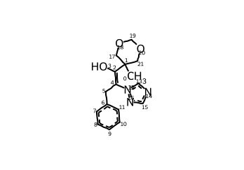 CC1(C(O)=C(Cc2ccccc2)n2cncn2)COCOC1